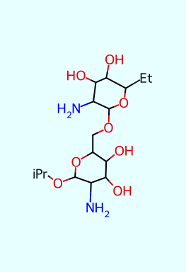 CCC1OC(OCC2OC(OC(C)C)C(N)C(O)C2O)C(N)C(O)C1O